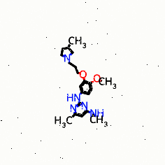 CNc1cc(C)nc(Nc2ccc(OC)c(OCCCN3CCC(C)C3)c2)n1